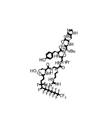 CCCCC(=O)[C@H](Cc1cnc[nH]1)NC(=O)[C@@H](NC(=O)[C@H](Cc1ccc(O)cc1)NC(=O)[C@@H](NC(=O)[C@H](CCCNC(=N)N)CNC(=O)[C@H](CC(=O)O)NC(=O)CCC(F)(F)C(F)C(F)(F)C(F)(F)C(F)(F)C(F)(F)C(F)(F)C(F)(F)F)C(C)C)[C@@H](C)CC